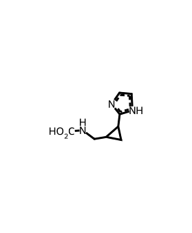 O=C(O)NCC1CC1c1ncc[nH]1